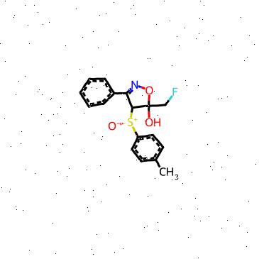 Cc1ccc([S@+]([O-])C2C(c3ccccc3)=NOC2(O)CF)cc1